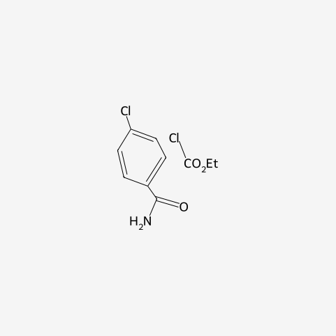 CCOC(=O)Cl.NC(=O)c1ccc(Cl)cc1